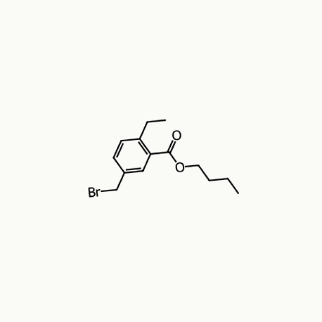 CCCCOC(=O)c1cc(CBr)ccc1CC